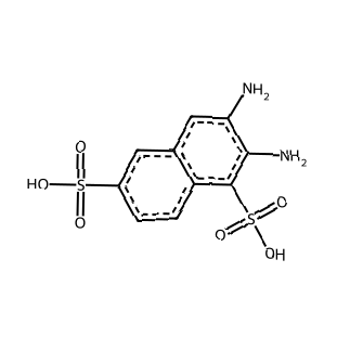 Nc1cc2cc(S(=O)(=O)O)ccc2c(S(=O)(=O)O)c1N